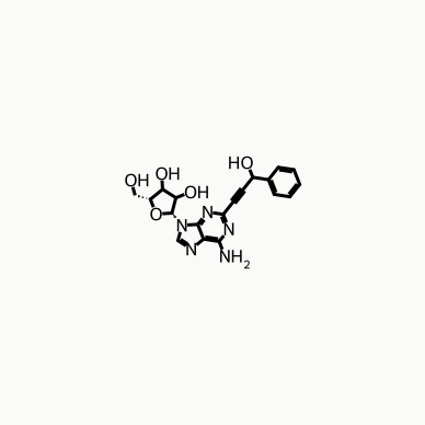 Nc1nc(C#CC(O)c2ccccc2)nc2c1ncn2[C@@H]1O[C@H](CO)C(O)C1O